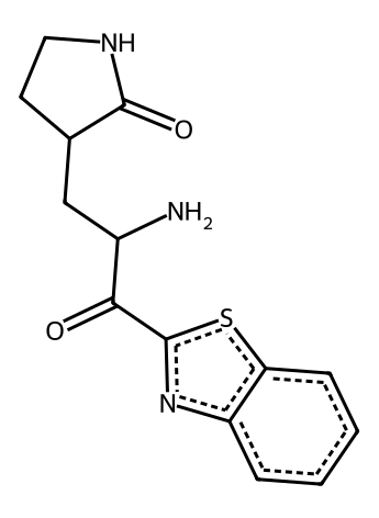 NC(CC1CCNC1=O)C(=O)c1nc2ccccc2s1